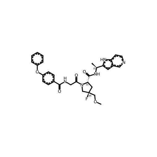 COC[C@@]1(F)C[C@@H](C(=O)N[C@@H](C)c2cc3cnccc3[nH]2)N(C(=O)CNC(=O)c2ccc(Oc3ccccc3)cc2)C1